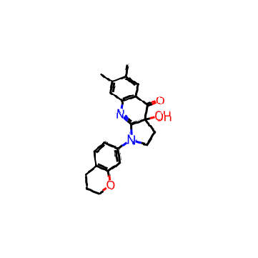 Cc1cc2c(cc1C)C(=O)C1(O)CCN(c3ccc4c(c3)OCCC4)C1=N2